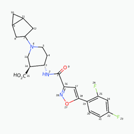 O=C(N[C@H]1CCN(C2CC3CC3C2)C[C@@H]1C(=O)O)c1cc(-c2ccc(F)cc2F)on1